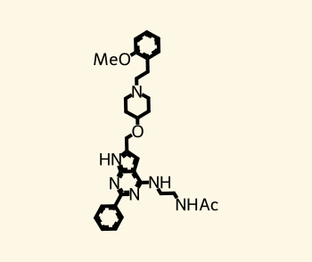 COc1ccccc1CCN1CCC(OCc2cc3c(NCCNC(C)=O)nc(-c4ccccc4)nc3[nH]2)CC1